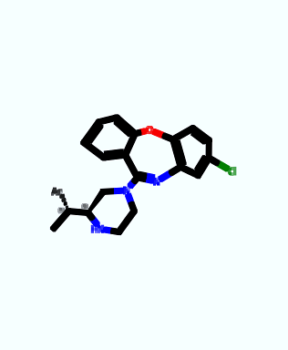 CC(=O)[C@@H](C)[C@H]1CN(C2=Nc3cc(Cl)ccc3Oc3ccccc32)CCN1